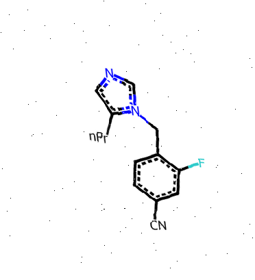 CCCc1cncn1Cc1ccc(C#N)cc1F